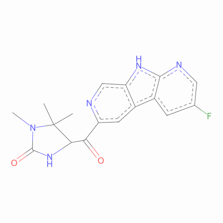 CN1C(=O)NC(C(=O)c2cc3c(cn2)[nH]c2ncc(F)cc23)C1(C)C